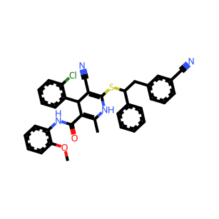 COc1ccccc1NC(=O)C1=C(C)NC(SC(Cc2cccc(C#N)c2)c2ccccc2)=C(C#N)C1c1ccccc1Cl